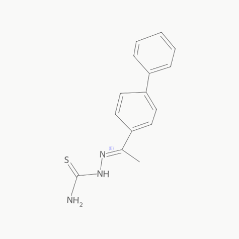 C/C(=N\NC(N)=S)c1ccc(-c2ccccc2)cc1